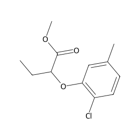 CCC(Oc1cc(C)ccc1Cl)C(=O)OC